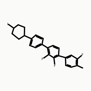 Cc1ccc(-c2ccc(-c3ccc(C4CCC(I)CC4)cc3)c(F)c2F)cc1F